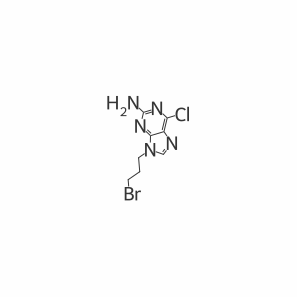 Nc1nc(Cl)c2ncn(CCCBr)c2n1